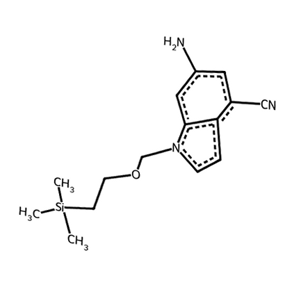 C[Si](C)(C)CCOCn1ccc2c(C#N)cc(N)cc21